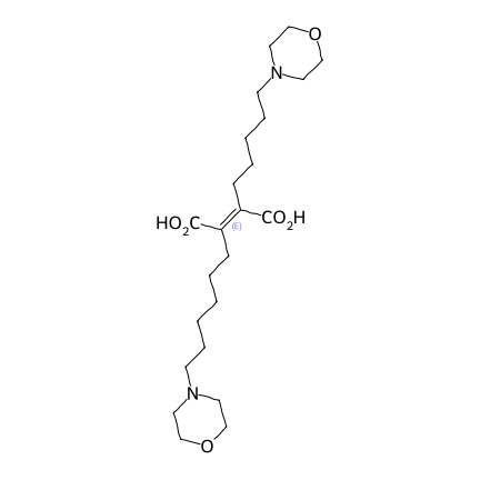 O=C(O)/C(CCCCCCN1CCOCC1)=C(\CCCCCN1CCOCC1)C(=O)O